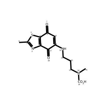 Cc1nc2c(s1)C(=O)C=C(NCCCN(C)C(=O)O)C2=O